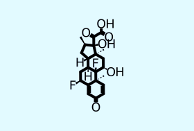 C[C@@H]1C[C@H]2[C@@H]3C[C@H](F)C4=CC(=O)C=C[C@]4(C)[C@@]3(F)[C@@H](O)C[C@]2(C)[C@@]1(O)C(=O)C(=O)O